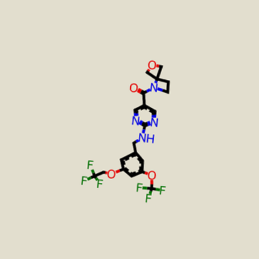 O=C(c1cnc(NCc2cc(OCC(F)(F)F)cc(OC(F)(F)F)c2)nc1)N1CCC12COC2